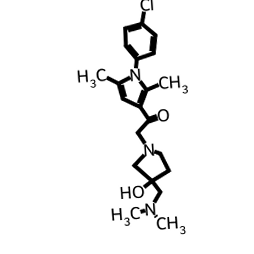 Cc1cc(C(=O)CN2CCC(O)(CN(C)C)C2)c(C)n1-c1ccc(Cl)cc1